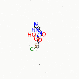 O=C1CN(S(=O)(=O)/C=C/c2ccc(Cl)s2)C(CO)CN1Cc1cc2cnccc2[nH]1